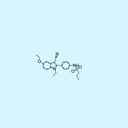 CCCS(=O)(=O)Nc1ccc(-c2c(C#N)c3cc(OCC)ccc3n2CC)cc1